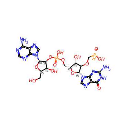 Nc1nc2c(ncn2[C@@H]2O[C@H](COP(=O)(O)O[C@H]3[C@@H](O)[C@@H](CO)O[C@H]3n3cnc4c(N)ncnc43)[C@H](O)C2OC[PH](=O)O)c(=O)[nH]1